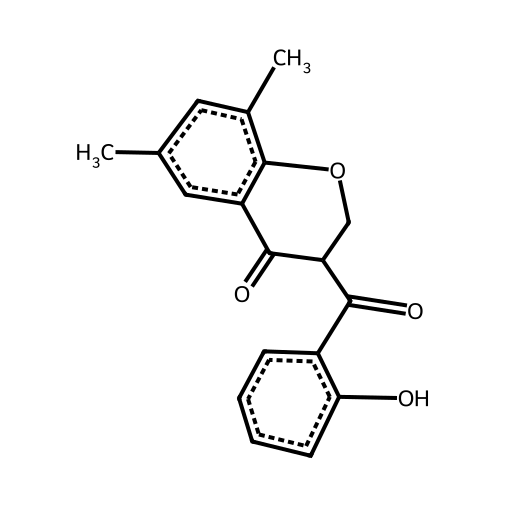 Cc1cc(C)c2c(c1)C(=O)C(C(=O)c1ccccc1O)CO2